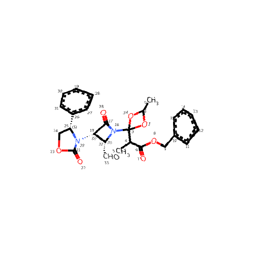 CC1OC(C(C)C(=O)OCc2ccccc2)(N2C(=O)[C@@H](N3C(=O)OC[C@@H]3c3ccccc3)[C@H]2C=O)O1